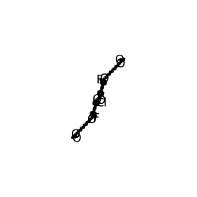 C=CC(=O)OCCCCCCCCCCOc1ccc(C#Cc2ccc(C(=O)Oc3ccc(C#Cc4ccc(OCCCCCCCCCCOC(=O)C=C)c(F)c4)cc3Cl)cc2)cc1F